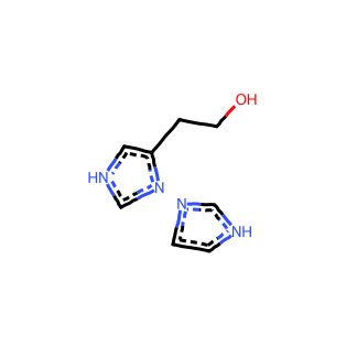 OCCc1c[nH]cn1.c1c[nH]cn1